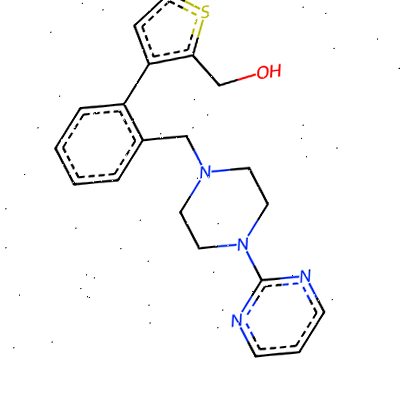 OCc1sccc1-c1ccccc1CN1CCN(c2ncccn2)CC1